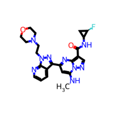 CNc1cc(-c2nn(CCN3CCOCC3)c3ncccc23)nc2c(C(=O)NC3C[C@H]3F)cnn12